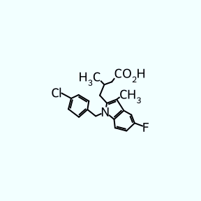 Cc1c(CC(C)CC(=O)O)n(Cc2ccc(Cl)cc2)c2ccc(F)cc12